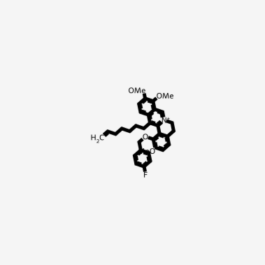 C=CCCCCCc1c2[n+](cc3c(OC)c(OC)ccc13)CCc1ccc(OC)c(OCc3ccc(F)cc3)c1-2